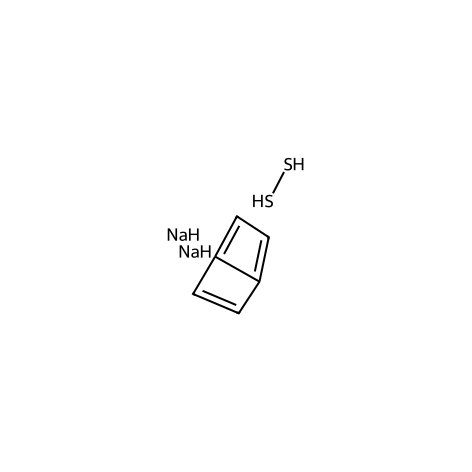 SS.[NaH].[NaH].c1cc2ccc1-2